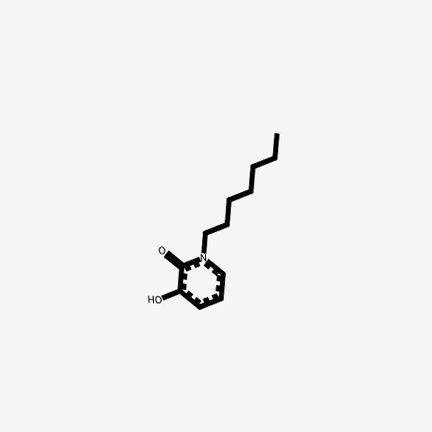 CCCCCCCn1cccc(O)c1=O